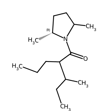 CCCC(C(=O)N1C(C)CC[C@H]1C)C(C)CC